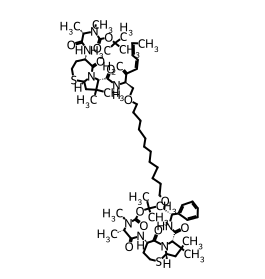 C=C(/C=C\C=C/C)[C@@H](COCCCCCCCCCCCCOC[C@@H](NC(=O)[C@H]1N2C(=O)[C@@H](NC(=O)[C@H](C)N(C)C(=O)OC(C)(C)C)CCS[C@H]2CC1(C)C)c1ccccc1)NC(=O)[C@H]1N2C(=O)[C@@H](NC(=O)[C@H](C)N(C)C(=O)OC(C)(C)C)CCS[C@H]2CC1(C)C